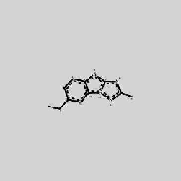 CCc1ccc2sc3nc(C)nn3c2c1